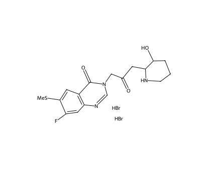 Br.Br.CSc1cc2c(=O)n(CC(=O)CC3NCCCC3O)cnc2cc1F